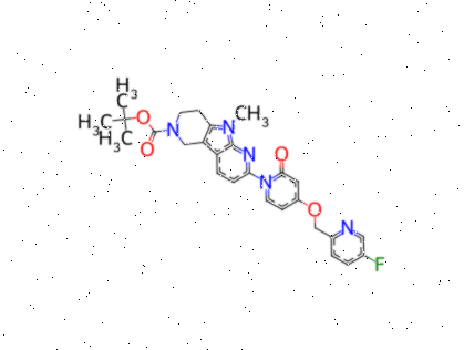 Cn1c2c(c3ccc(-n4ccc(OCc5ccc(F)cn5)cc4=O)nc31)CN(C(=O)OC(C)(C)C)CC2